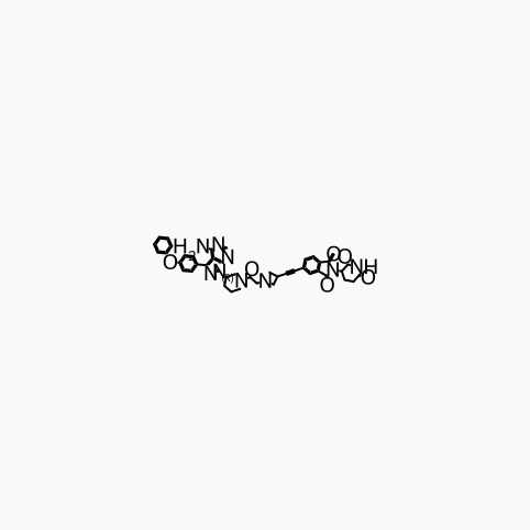 Nc1ncnc2c1c(-c1ccc(Oc3ccccc3)cc1)nn2[C@@H]1CCCN(C(=O)CN2CC(C#Cc3ccc4c(c3)C(=O)N(C3CCC(=O)NC3=O)C4=O)C2)C1